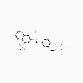 O=S(=O)(O)c1cc(/N=N/c2ccc3c(c2)C=CC(S(=O)(=O)O)C3)c(O)c2ncccc12